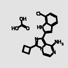 Nc1nccn2c(C3CCC3)nc(-c3cc4cccc(Cl)c4[nH]3)c12.O=C(O)O